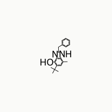 Cc1cc(C(C)(C)C)c(O)c2nc(Cc3ccccc3)[nH]c12